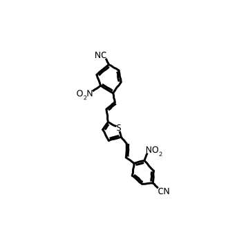 N#Cc1ccc(C=Cc2ccc(C=Cc3ccc(C#N)cc3[N+](=O)[O-])s2)c([N+](=O)[O-])c1